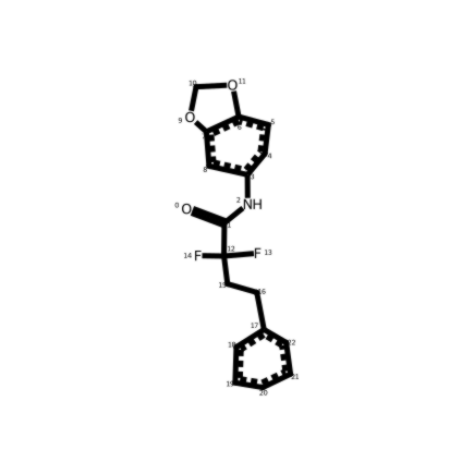 O=C(Nc1ccc2c(c1)OCO2)C(F)(F)CCc1ccccc1